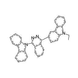 CCn1c2ccccc2c2cc(-c3nnc(-n4c5ccccc5c5ccccc54)c4ccccc34)ccc21